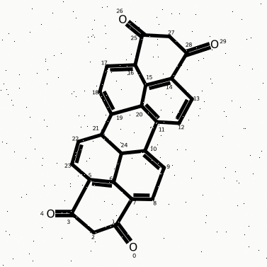 O=C1CC(=O)C2=C3C1=CC=C1c4ccc5c6c(ccc(c46)C(C=C2)C13)C(=O)CC5=O